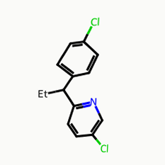 CCC(c1ccc(Cl)cc1)c1ccc(Cl)cn1